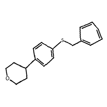 c1ccc(CSc2ccc(C3CCOCC3)cc2)cc1